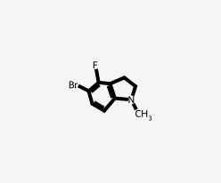 CN1CCc2c1ccc(Br)c2F